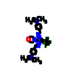 CN(C)c1ccc(C=Nn2cc[n+](N=Cc3ccc(N(C)C)cc3)c2N2CCOCC2)cc1.F[B-](F)(F)F